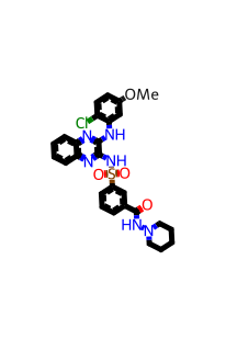 COc1ccc(Cl)c(Nc2nc3ccccc3nc2NS(=O)(=O)c2cccc(C(=O)NN3CCCCC3)c2)c1